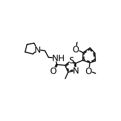 COc1cccc(OC)c1-c1nc(C)c(C(=O)NCCN2CCCC2)s1